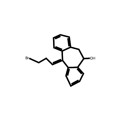 OC1Cc2ccccc2C(=CCCBr)c2ccccc21